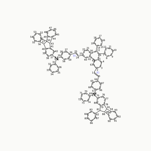 C(=C\c1ccc2c(-c3ccccc3)c(-c3ccccc3)c3ccc(/C=C/c4ccc(N(c5ccccc5)c5ccc6c(c5)C5c7ccccc7C57c5ccccc5C67)cc4)cc3c2c1)/c1ccc(N(c2ccccc2)c2ccc3c(c2)C(c2ccccc2)C2c4ccccc4C32)cc1